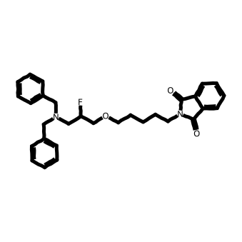 O=C1c2ccccc2C(=O)N1CCCCCOCC(F)CN(Cc1ccccc1)Cc1ccccc1